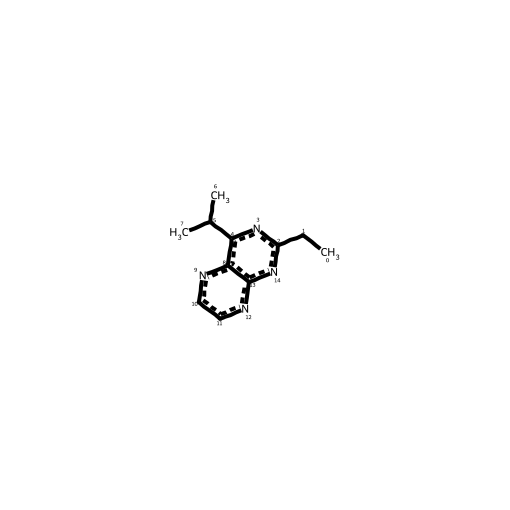 CCc1nc(C(C)C)c2nccnc2n1